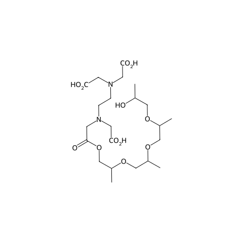 CC(O)COC(C)COC(C)COC(C)COC(=O)CN(CCN(CC(=O)O)CC(=O)O)CC(=O)O